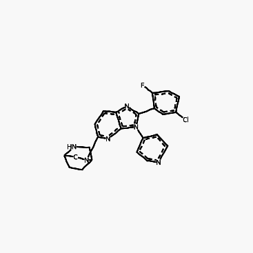 Fc1ccc(Cl)cc1-c1nc2ccc(N3CC4CCC3CN4)nc2n1-c1ccncc1